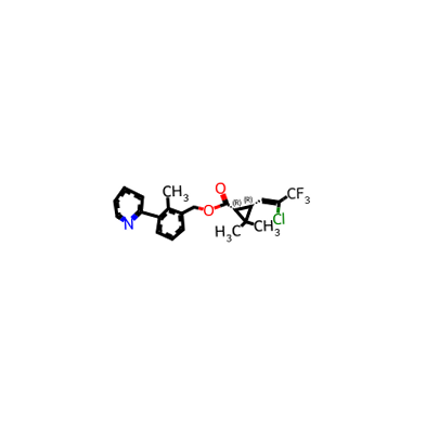 Cc1c(COC(=O)[C@@H]2[C@H](C=C(Cl)C(F)(F)F)C2(C)C)cccc1-c1ccccn1